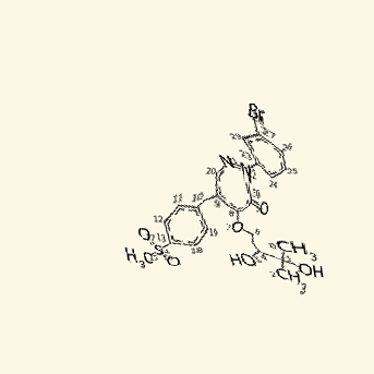 CC(C)(O)C(O)COc1c(-c2ccc(S(C)(=O)=O)cc2)cnn(-c2cccc(Br)c2)c1=O